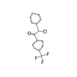 O=C(c1ccc(C(F)(F)F)cc1)C(Cl)c1ccccc1